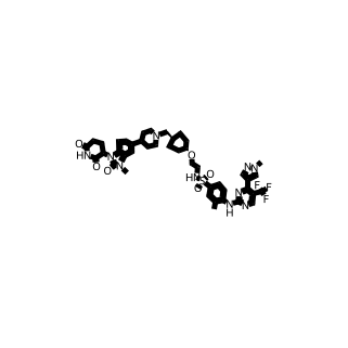 Cc1cc(S(=O)(=O)NCCO[C@H]2CC[C@H](CN3CCC(c4ccc5c(c4)n(C)c(=O)n5C4CCC(=O)NC4=O)CC3)CC2)ccc1Nc1ncc(C(F)(F)F)c(-c2cnn(C)c2)n1